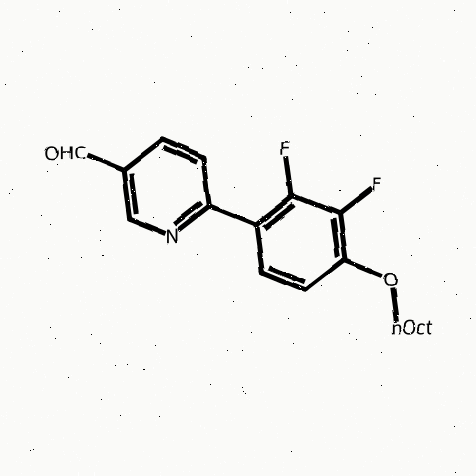 CCCCCCCCOc1ccc(-c2ccc(C=O)cn2)c(F)c1F